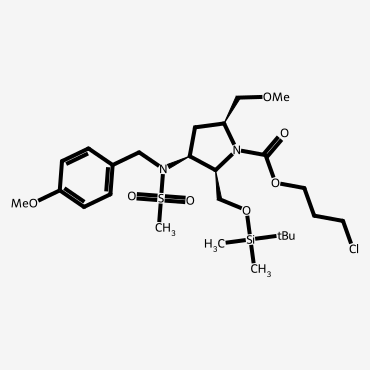 COC[C@@H]1C[C@H](N(Cc2ccc(OC)cc2)S(C)(=O)=O)[C@H](CO[Si](C)(C)C(C)(C)C)N1C(=O)OCCCCl